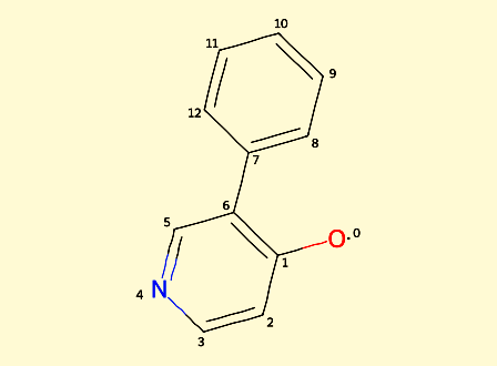 [O]c1ccncc1-c1ccccc1